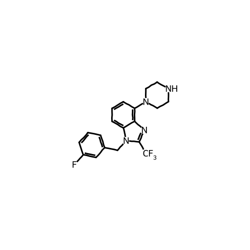 Fc1cccc(Cn2c(C(F)(F)F)nc3c(N4CCNCC4)cccc32)c1